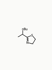 CCCCC(C)C1=N[CH]CS1